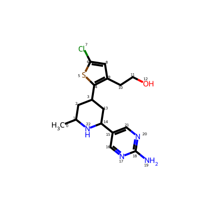 CC1CC(c2sc(Cl)cc2CCO)CC(c2cnc(N)nc2)N1